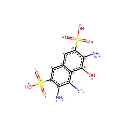 Nc1c(S(=O)(=O)O)cc2cc(S(=O)(=O)O)c(N)c(O)c2c1N